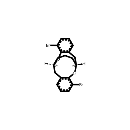 Brc1cccc2c1O[C@@H]1CCC[C@H](C2)Oc2c(Br)cccc2C1